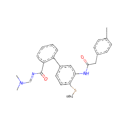 Cc1ccc(CC(=O)Nc2cc(-c3ccccc3C(=O)N=CN(C)C)ccc2SC(C)(C)C)cc1